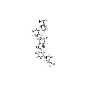 CNc1nccc(-c2cccnc2Oc2ccc(NC(=O)c3cccc(N4CC[C@H](N(C)C)C4)c3)cc2C)n1